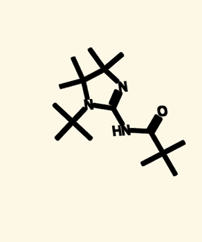 CC(C)(C)C(=O)NC1=NC(C)(C)C(C)(C)N1C(C)(C)C